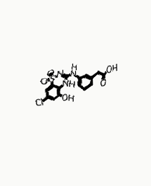 O=C(O)Cc1cccc(NC2=NS(=O)(=O)c3cc(Cl)cc(O)c3N2)c1